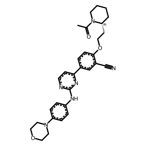 CC(=O)N1CCCC[C@@H]1CCOc1ccc(-c2ccnc(Nc3ccc(N4CCOCC4)cc3)n2)cc1C#N